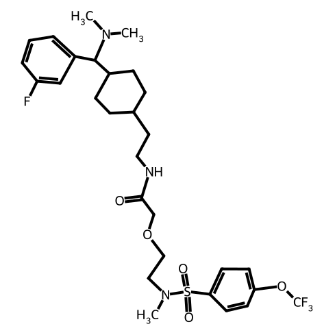 CN(C)C(c1cccc(F)c1)C1CCC(CCNC(=O)COCCN(C)S(=O)(=O)c2ccc(OC(F)(F)F)cc2)CC1